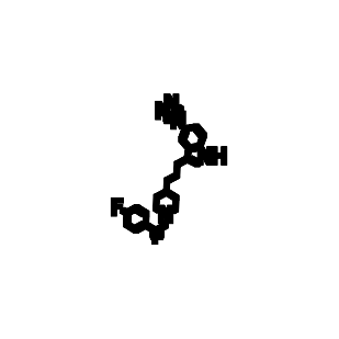 C[C@H](CN1CCC(CCCc2c[nH]c3ccc(-n4cnnc4)cc23)CC1)c1ccc(F)cc1